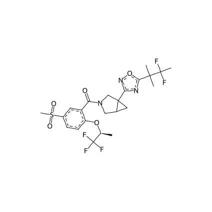 C[C@H](Oc1ccc(S(C)(=O)=O)cc1C(=O)N1CC2CC2(c2noc(C(C)(C)C(C)(F)F)n2)C1)C(F)(F)F